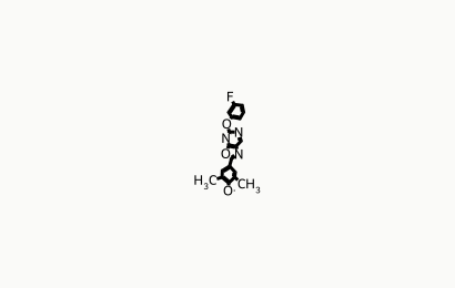 Cc1cc(-c2nc3cnc(Oc4cccc(F)c4)nc3o2)cc(C)c1[O]